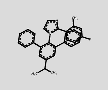 Cc1cc(F)ccc1-c1nccn1-c1c(-c2ccccc2)cc(C(C)C)cc1-c1ccccc1